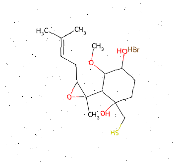 Br.COC1C(O)CCC(O)(CS)C1C1(C)OC1CC=C(C)C